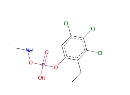 CCc1c(OP(=O)(O)ONC)cc(Cl)c(Cl)c1Cl